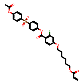 C=CC(=O)OCCCCCCOc1ccc(C(=O)Oc2ccc(S(=O)(=O)c3ccc(OC(C)=O)cc3)cc2)c(F)c1